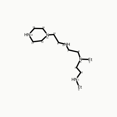 CCNCCN(CC)CCNCCN1CCNCC1